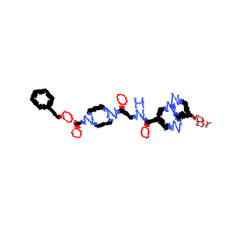 O=C(NCC(=O)N1CCN(C(=O)OCc2ccccc2)CC1)c1cnc2c(Br)cnn2c1